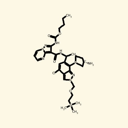 CCCCOC(=O)Nc1nn2cccnc2c1C(=O)NC(C)c1cc(Cl)c2cn(COCC[Si](C)(C)C)nc2c1N1CC[C@H](N)C1